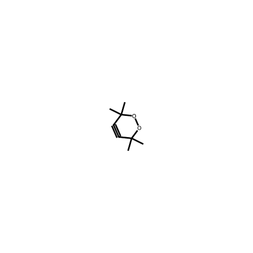 CC1(C)C#CC(C)(C)OO1